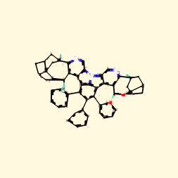 FC12CC3CC(C1)CC(F)(C3)c1c2ncc2c1c1c(-c3ccccc3)c(-c3ccccc3)c(-c3ccccc3)c3c4c5c(ncc4n2c13)C1(F)CC2CC3CC5(F)CC23C1